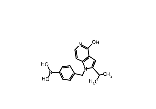 CC(C)c1cc2c(O)nccc2n1Cc1ccc(B(O)O)cc1